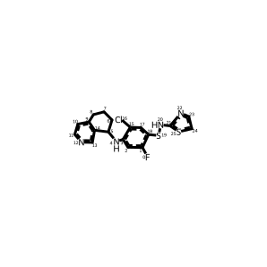 Fc1cc(NC2CCCc3ccncc32)c(Cl)cc1SNc1nccs1